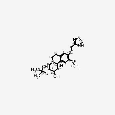 COc1cc2c(cc1OCc1nnn[nH]1)CCN1C[C@@H](CC(C)(C)C)[C@H](O)C[C@H]21